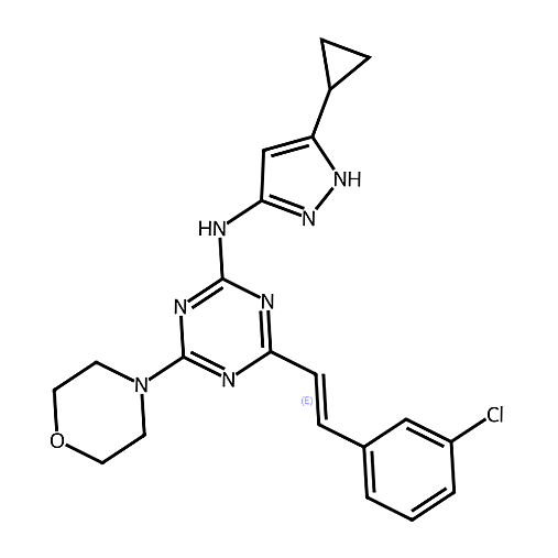 Clc1cccc(/C=C/c2nc(Nc3cc(C4CC4)[nH]n3)nc(N3CCOCC3)n2)c1